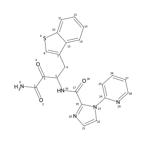 NC(=O)C(=O)C(Cc1csc2ccccc12)NC(=O)c1nccn1-c1ccccn1